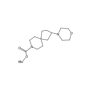 CC(C)(C)OC(=O)N1CCC2(CCC(N3CCOCC3)C2)CC1